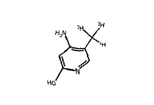 [2H]C([2H])([2H])c1cnc(O)cc1N